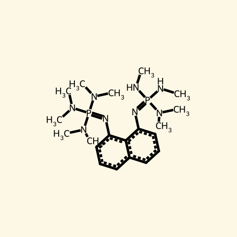 CNP(=Nc1cccc2cccc(N=P(N(C)C)(N(C)C)N(C)C)c12)(NC)N(C)C